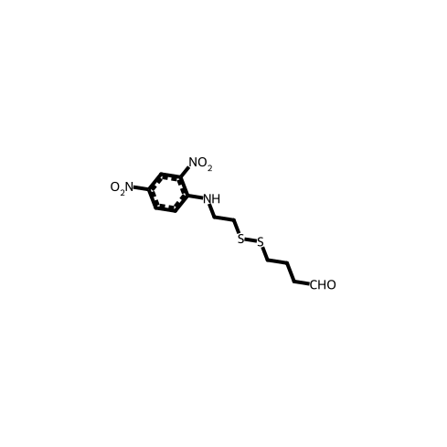 O=CCCCSSCCNc1ccc([N+](=O)[O-])cc1[N+](=O)[O-]